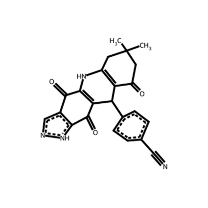 CC1(C)CC(=O)C2=C(C1)NC1=C(C(=O)c3[nH]ncc3C1=O)C2c1ccc(C#N)cc1